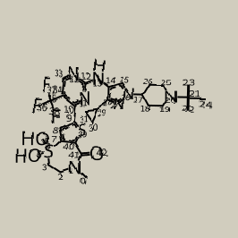 CN1CCS(O)(O)c2cc(-c3nc(Nc4cn(C5CCN(C(C)(C)C)CC5)nc4C4CC4)ncc3C(F)(F)F)sc2C1=O